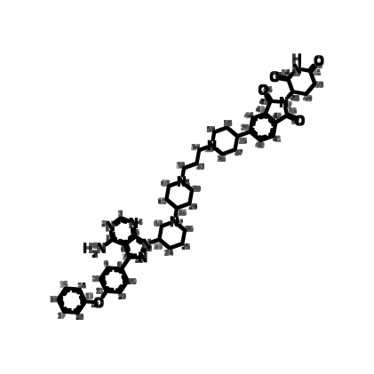 Nc1ncnc2c1c(-c1ccc(Oc3ccccc3)cc1)nn2C1CCCN(C2CCN(CCCN3CCC(c4ccc5c(c4)C(=O)N(C4CCC(=O)NC4=O)C5=O)CC3)CC2)C1